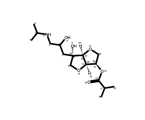 CC(C)NCC(O)C[C@]1(O)CO[C@@H]2[C@H](OC(=O)C(C)C)CO[C@@H]21